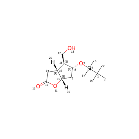 CC(C)(C)[Si](C)(C)O[C@@H]1C[C@@H]2OC(=O)C[C@@H]2[C@H]1CO